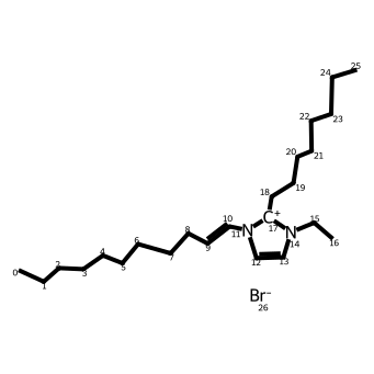 CCCCCCCCCC=Cn1ccn(CC)[c+]1CCCCCCCC.[Br-]